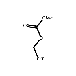 [CH2]CCCOC(=O)OC